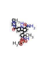 Cc1c(NS(=O)(=O)CS(C)(=O)=O)cccc1-c1ccc(C(N)=O)c2[nH]c3cc(C(=O)N4CCN(C)CC4)ccc3c12